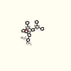 Cc1ccc(-c2ccc3c(c2)c2ccccc2n3-c2ccc(-c3nc(-c4ccccc4)nc(-c4ccccc4)n3)cc2-c2nc(-c3ccccc3)nc(-c3ccccc3)n2)c(C)c1